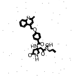 C=CCN(O)C(=O)CC1(NC(=O)c2ccc(OCc3cc(C)nc4ccccc34)cc2)CNC(=O)C1